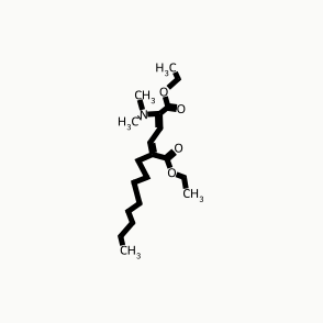 CCCCCCCC/C(=C/C=C(/C(=O)OCC)N(C)C)C(=O)OCC